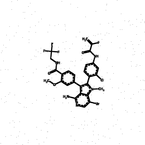 C=C(F)C(=O)Nc1ccc(-c2c(-c3ccc(C(=O)NCC(F)(F)F)c(OC)c3)c3c(N)ncc(Br)c3n2C)c(Cl)c1